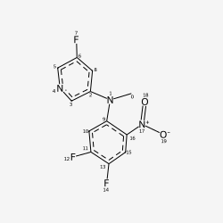 CN(c1cncc(F)c1)c1cc(F)c(F)cc1[N+](=O)[O-]